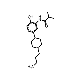 CC(C)C(=O)Nc1cc(C2CCN(CCCN)CC2)ccc1O